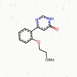 COCCOc1ccccc1-c1cc(=O)[nH]cn1